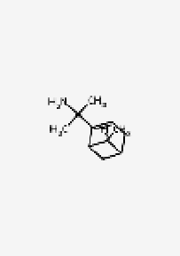 C[C@H]1C2CC=C(C(C)(C)N)C1C2